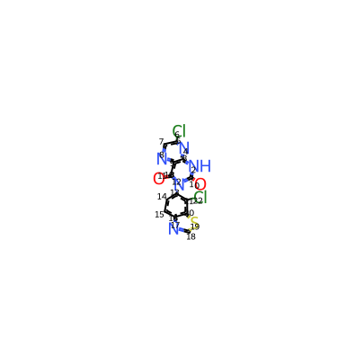 O=c1[nH]c2nc(Cl)cnc2c(=O)n1-c1ccc2ncsc2c1Cl